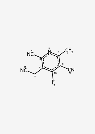 N#CCc1c(C#N)nc(C(F)(F)F)c(C#N)c1F